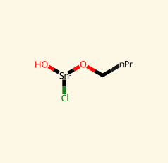 CCCC[O][Sn]([OH])[Cl]